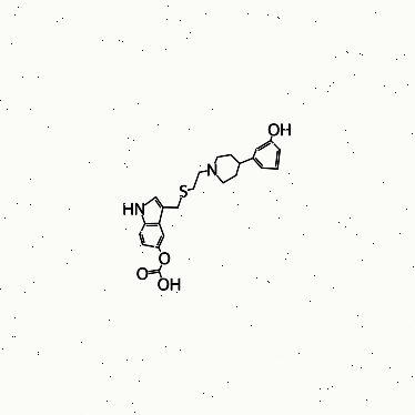 O=C(O)Oc1ccc2[nH]cc(CSCCN3CCC(c4cccc(O)c4)CC3)c2c1